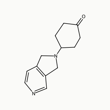 O=C1CCC(N2Cc3ccncc3C2)CC1